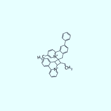 C=CC1C2C(c3ccccc3-c3cccc[n+]32)C12Cc1ccc(-c3ccccc3)cc1-c1ccc(C)c[n+]12